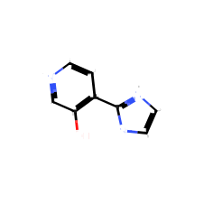 Oc1cnccc1-c1ncc[nH]1